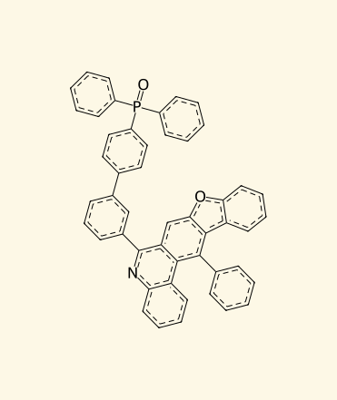 O=P(c1ccccc1)(c1ccccc1)c1ccc(-c2cccc(-c3nc4ccccc4c4c(-c5ccccc5)c5c(cc34)oc3ccccc35)c2)cc1